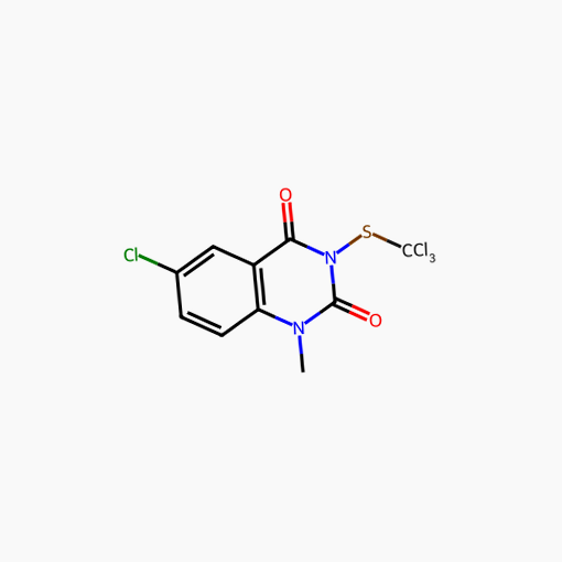 Cn1c(=O)n(SC(Cl)(Cl)Cl)c(=O)c2cc(Cl)ccc21